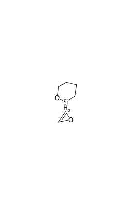 C1=CO1.C1CC[SiH2]OC1